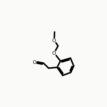 COCOc1ccccc1CC=O